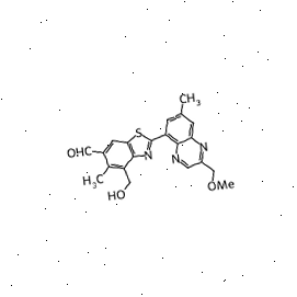 COCc1cnc2c(-c3nc4c(CO)c(C)c(C=O)cc4s3)cc(C)cc2n1